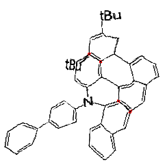 CC(C)(C)C1=CC(c2cccc3cccc(-c4ccccc4N(c4ccc(-c5ccccc5)cc4)c4cccc5ccccc45)c23)CC(C(C)(C)C)=C1